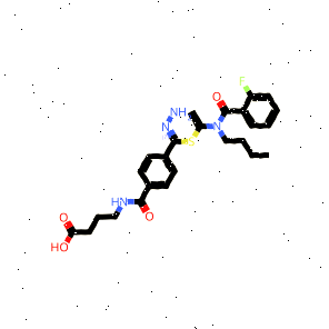 C=C(S/C(=N\N)c1ccc(C(=O)NCCCC(=O)O)cc1)N(CCCC)C(=O)c1ccccc1F